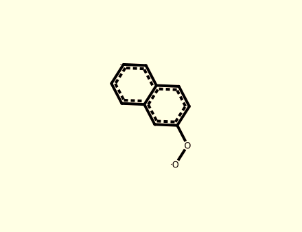 [O]Oc1ccc2c[c]ccc2c1